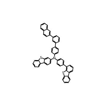 c1cc(-c2ccc(N(c3ccc(-c4cccc5c4sc4ccccc45)cc3)c3ccc4c(c3)sc3ccccc34)cc2)cc(-c2ccc3ccccc3c2)c1